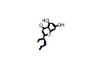 C=C/C=C\C(=C/C)c1cc(=O)c2c(O)cc(O)cc2o1